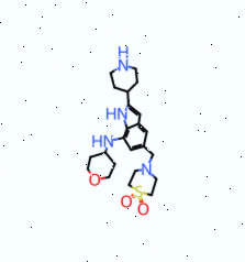 O=S1(=O)CCN(Cc2cc(NC3CCOCC3)c3[nH]c(C4CCNCC4)cc3c2)CC1